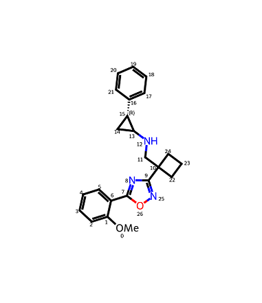 COc1ccccc1-c1nc(C2(CNC3C[C@@H]3c3ccccc3)CCC2)no1